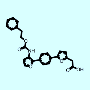 O=C(O)Cc1ccc(-c2ccc(-c3occc3NC(=O)OCCc3ccccc3)cc2)o1